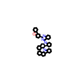 C1=c2ccccc2=C(n2c3ccccc3c3ccc4ccccc4c32)C2c3ccccc3N(c3nc(-c4ccc5oc6ccccc6c5c4)nc4ccccc34)C12